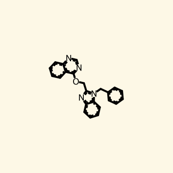 c1ccc(Cn2c(COc3ncnc4ccccc34)nc3ccccc32)cc1